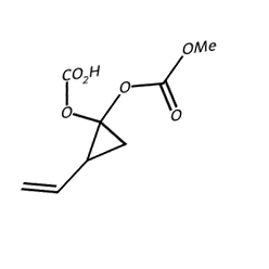 C=CC1CC1(OC(=O)O)OC(=O)OC